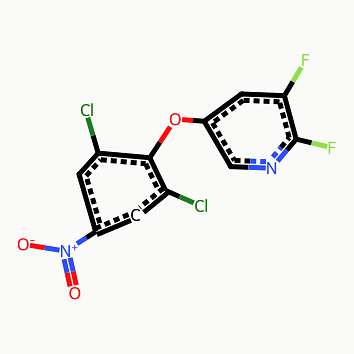 O=[N+]([O-])c1cc(Cl)c(Oc2cnc(F)c(F)c2)c(Cl)c1